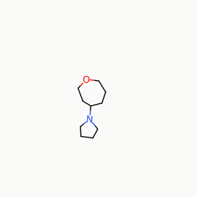 C1COCCC(N2CCCC2)C1